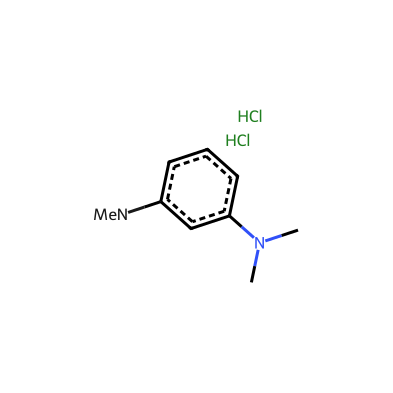 CNc1cccc(N(C)C)c1.Cl.Cl